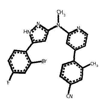 Cc1cc(C#N)ccc1-c1ccnc(N(C)c2cc(-c3ccc(F)cc3Br)[nH]n2)c1